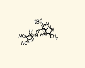 Cc1nn2nc(C(C)(C)C)c(N=Nc3nc(C#N)c(C#N)[nH]3)c2[nH]1